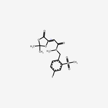 CN(Cc1ccc(F)cc1S(C)(=O)=O)C(=O)/C=C1\OC(C)(C)OC1=O